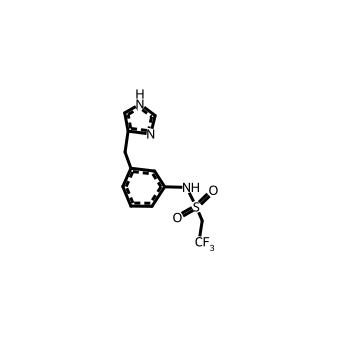 O=S(=O)(CC(F)(F)F)Nc1cccc(Cc2c[nH]cn2)c1